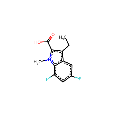 CCc1c(C(=O)O)n(C)c2c(F)cc(F)cc12